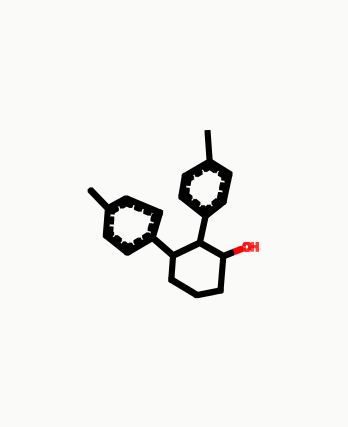 Cc1ccc(C2CCCC(O)C2c2ccc(C)cc2)cc1